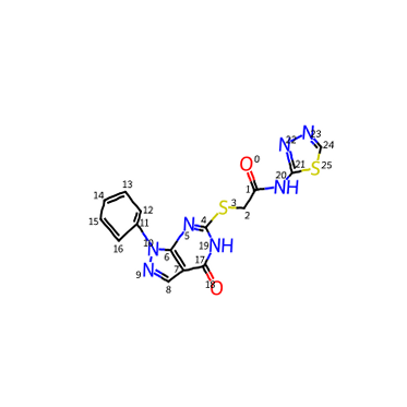 O=C(CSc1nc2c(cnn2-c2ccccc2)c(=O)[nH]1)Nc1nncs1